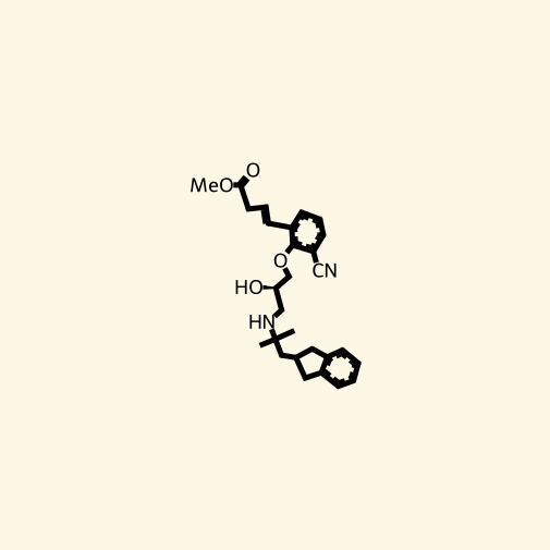 COC(=O)CC=Cc1cccc(C#N)c1OC[C@H](O)CNC(C)(C)CC1Cc2ccccc2C1